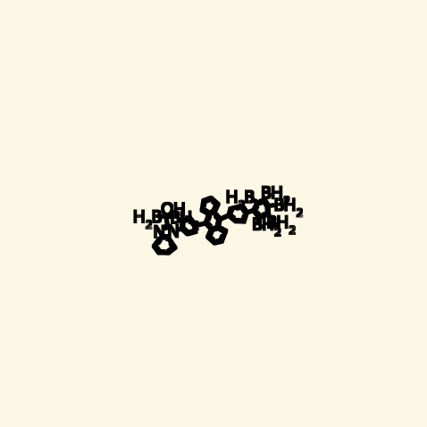 Bc1c(B)c(B)c(-c2ccc(-c3c4ccccc4c(-c4ccc(-n5c(C(B)(B)O)nc6ccccc65)cc4)c4ccccc34)cc2)c(B)c1B